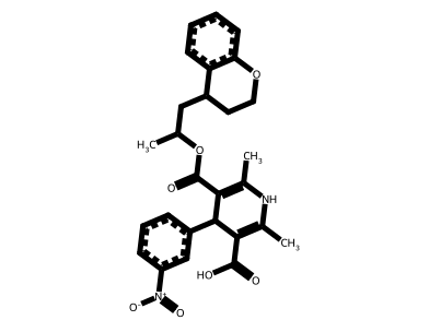 CC1=C(C(=O)O)C(c2cccc([N+](=O)[O-])c2)C(C(=O)OC(C)CC2CCOc3ccccc32)=C(C)N1